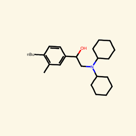 CCCCc1ccc(C(O)CN(C2CCCCC2)C2CCCCC2)cc1C